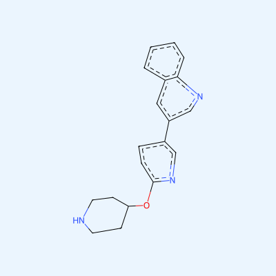 c1ccc2ncc(-c3ccc(OC4CCNCC4)nc3)cc2c1